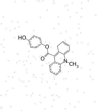 CN1C2=CC=CCC2=C(C(=O)Oc2ccc(O)cc2)c2ccccc21